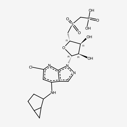 O=P(O)(O)CS(=O)(=O)C[C@H]1O[C@@H](n2ncc3c(NC4CCC5CC54)cc(Cl)nc32)[C@H](O)[C@@H]1O